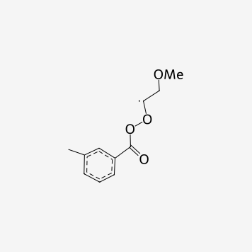 COC[CH]OOC(=O)c1cccc(C)c1